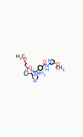 COC/C=C/C(=O)N1CCCC1C1=C2C=NC=C[N+]2(N)C(c2ccc(C(=O)Nc3cc(OC)ccn3)cc2)=N1